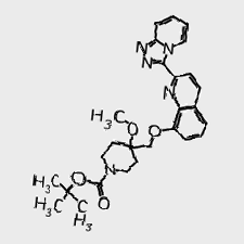 COC1(COc2cccc3ccc(-c4nnc5ccccn45)nc23)CCN(C(=O)OC(C)(C)C)CC1